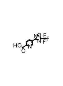 O=C(O)c1ccc(-c2noc(C(F)(F)F)n2)cn1